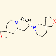 CC(CC1CC2(CCN1C(C)C)COC2)N1CCCC2(CCOC2)C1